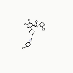 O=C(Nc1cc(F)c(F)nc1C1CCN(C/C=C/c2ccc(Cl)cc2)CC1)c1ccnc(Cl)c1